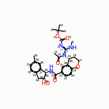 CN/C(=N\C(=O)OC(C)(C)C)N(C(C)=O)[C@@H]1CCOc2ccc(C(=O)N[C@@H]3c4cc(C)ccc4C[C@H]3O)cc21